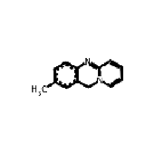 Cc1ccc2c(c1)CN1C=CC=CC1=N2